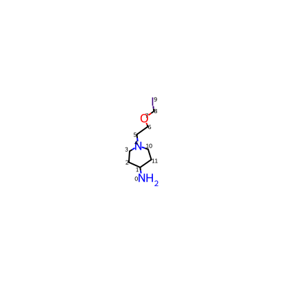 NC1CCN(CCOCI)CC1